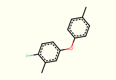 Cc1ccc(Oc2ccc(F)c(C)c2)cc1